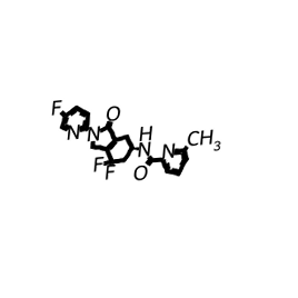 Cc1cccc(C(=O)N[C@@H]2CC3=C(CN(c4ccc(F)cn4)C3=O)C(F)(F)C2)n1